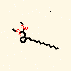 CCCCCCCCCCCC=Cc1ccccc1C=C(C(=O)OCC)C(=O)OCC